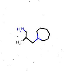 CC(CN)CN1CCCCCC1